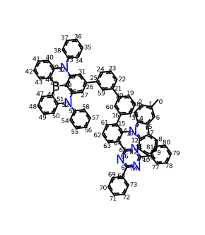 Cc1ccc2c(c1)c1ccccc1n2-c1c(-c2cccc(-c3cccc(-c4cc5c6c(c4)N(c4ccccc4)c4ccccc4B6c4ccccc4N5c4ccccc4)c3)c2)cccc1-c1nc(-c2ccccc2)nc(-c2ccccc2)n1